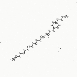 CCCOCCOCCOCCOCCOCCOCCN1CCN(CCCC(C)C)CC1